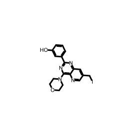 Oc1cccc(-c2nc(N3CCOCC3)c3ncc(CI)cc3n2)c1